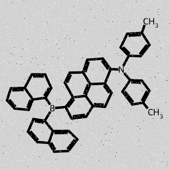 Cc1ccc(N(c2ccc(C)cc2)c2ccc3ccc4c(B(c5cccc6ccccc56)c5cccc6ccccc56)ccc5ccc2c3c54)cc1